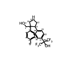 OCC1(c2ccc(F)cc2)CNCC1c1ccc(C(O)(C(F)(F)F)C(F)(F)F)cc1